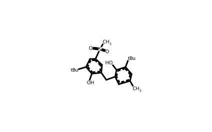 Cc1cc(Cc2cc(S(C)(=O)=O)cc(C(C)(C)C)c2O)c(O)c(C(C)(C)C)c1